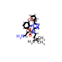 COc1cccc(OC)c1-n1c(-c2ccco2)nnc1N(CC[Si](C)(C)C)S(=O)(=O)CCN